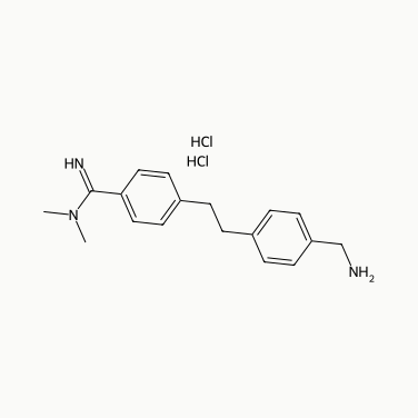 CN(C)C(=N)c1ccc(CCc2ccc(CN)cc2)cc1.Cl.Cl